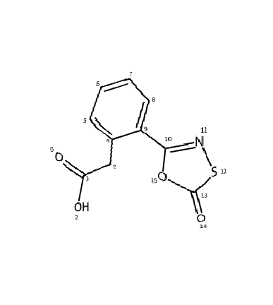 O=C(O)Cc1ccccc1-c1nsc(=O)o1